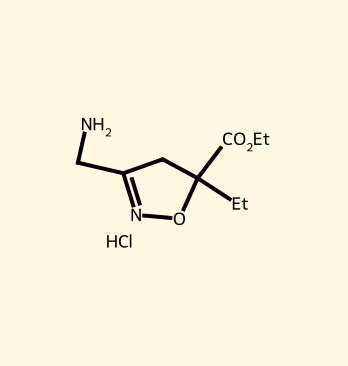 CCOC(=O)C1(CC)CC(CN)=NO1.Cl